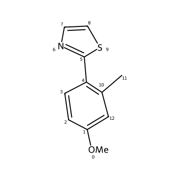 COc1ccc(-c2nccs2)c(C)c1